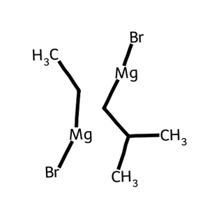 CC(C)[CH2][Mg][Br].C[CH2][Mg][Br]